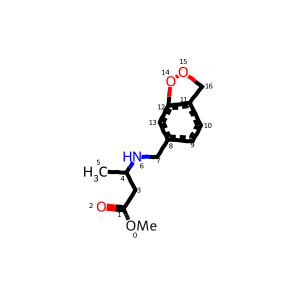 COC(=O)CC(C)NCc1ccc2c(c1)OOC2